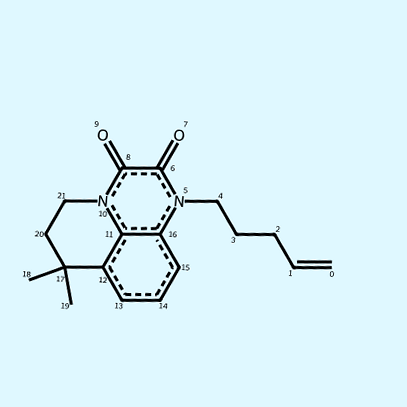 C=CCCCn1c(=O)c(=O)n2c3c(cccc31)C(C)(C)CC2